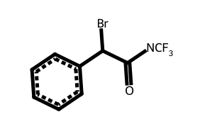 O=C(NC(F)(F)F)C(Br)c1ccccc1